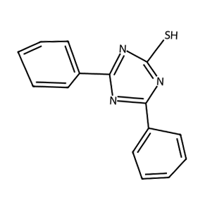 Sc1nc(-c2ccccc2)nc(-c2ccccc2)n1